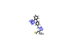 CCCCC(CC=S)c1ncnn1Cc1ccc(-c2ccccc2-c2nnn[nH]2)cc1